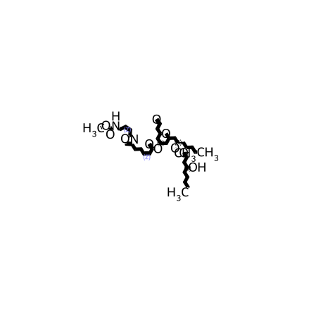 CCCCC[C@H](O)CCOC(CCC)C[C@H](CC1C[C@@H](OC(=O)/C=C\CCc2coc(/C=C\CNC(=O)OC)n2)CC(CC=O)O1)OC